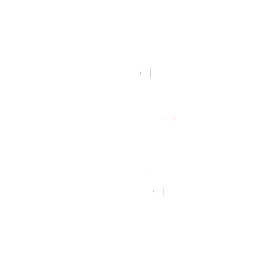 COc1cccc2c1C(=O)C(C)C2